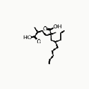 CCCCCC(CCC)CC(C)(CCC(C)C(=O)O)C(=O)O